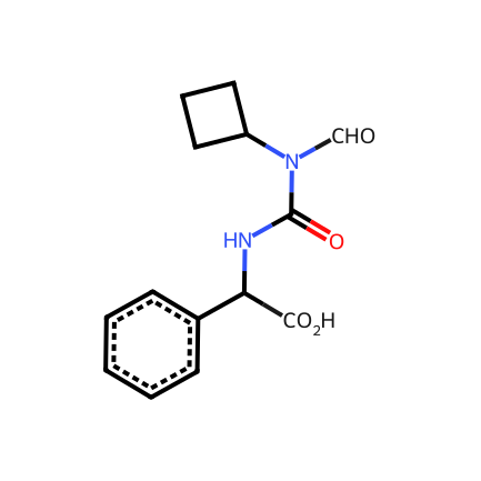 O=CN(C(=O)NC(C(=O)O)c1ccccc1)C1CCC1